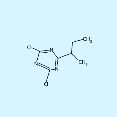 CCC(C)c1nc(Cl)nc(Cl)n1